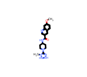 COc1ccc2cc(C(=O)NC3CCN(C4=NNNN4C)CC3)cnc2c1